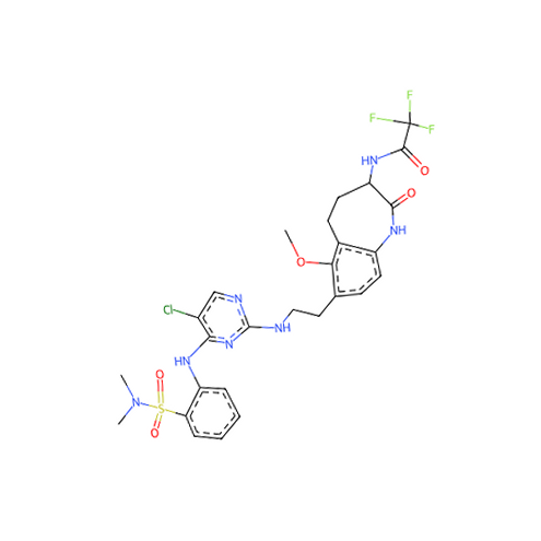 COc1c(CCNc2ncc(Cl)c(Nc3ccccc3S(=O)(=O)N(C)C)n2)ccc2c1CCC(NC(=O)C(F)(F)F)C(=O)N2